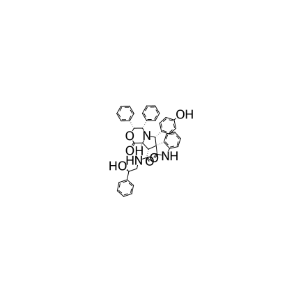 O=C1O[C@H](c2ccccc2)[C@H](c2ccccc2)N2[C@H]1[C@@H](C(=O)NC[C@H](O)c1ccccc1)[C@]1(C(=O)Nc3ccccc31)[C@H]2c1ccc(O)cc1